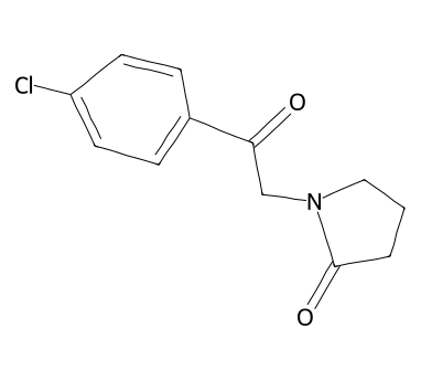 O=C(CN1CCCC1=O)c1ccc(Cl)cc1